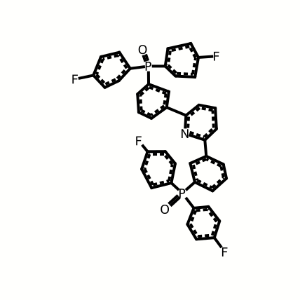 O=P(c1ccc(F)cc1)(c1ccc(F)cc1)c1cccc(-c2cccc(-c3cccc(P(=O)(c4ccc(F)cc4)c4ccc(F)cc4)c3)n2)c1